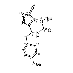 COc1ccc(CC(NC(=O)OC(C)(C)C)c2nsc(=O)[nH]2)cc1